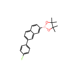 CC1(C)OB(c2ccc3ccc(-c4ccc(F)cc4)cc3c2)OC1(C)C